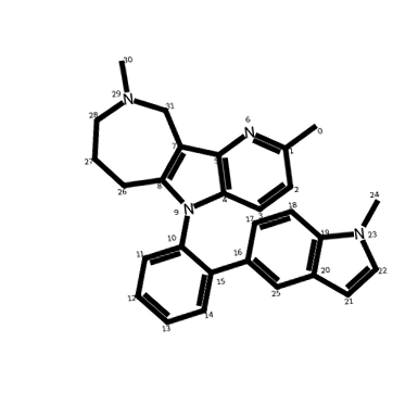 Cc1ccc2c(n1)c1c(n2-c2ccccc2-c2ccc3c(ccn3C)c2)CCCN(C)C1